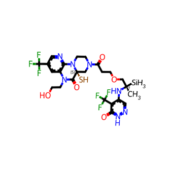 C[C@]([SiH3])(COCCC(=O)N1CCN2c3ncc(C(F)(F)F)cc3N(CCO)C(=O)[C@@]2(S)C1)Nc1cn[nH]c(=O)c1C(F)(F)F